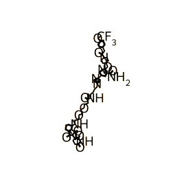 NC(=O)c1cc(-c2cn(CCCCNC(=O)CCOCCOCCNc3cccc4c3C(=O)N(C3CCC(=O)NC3=O)C4=O)cn2)cnc1OC1CCN(C(=O)Cc2ccc(OC(F)(F)F)cc2)CC1